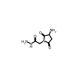 NNC(=O)CN1C(=O)CC(N)C1=O